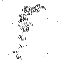 CC(C)(COP(=O)(O)OP(=O)(O)OC[C@H]1O[C@@H](n2cnc3c(N)ncnc32)[C@H](O)[C@@H]1OP(=O)(O)O)C(O)C(=O)NCCC(=O)NCCSC(=O)CCC(O)CCN